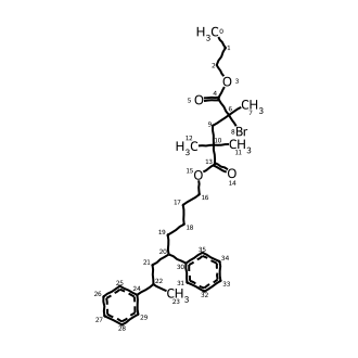 CCCOC(=O)C(C)(Br)CC(C)(C)C(=O)OCCCCC(CC(C)c1ccccc1)c1ccccc1